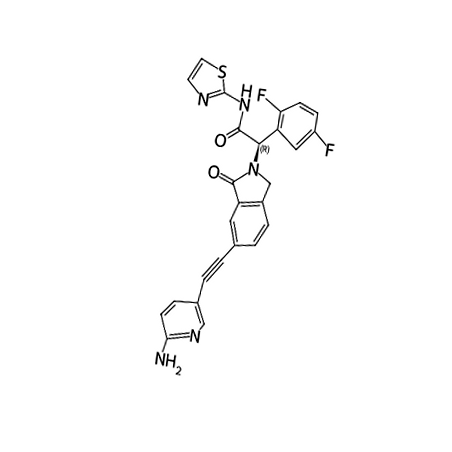 Nc1ccc(C#Cc2ccc3c(c2)C(=O)N([C@@H](C(=O)Nc2nccs2)c2cc(F)ccc2F)C3)cn1